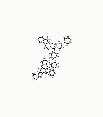 CC1(C)c2ccccc2-c2ccc(N(c3ccc(-c4ccccc4)cc3)c3ccc(-c4cccc5c4-c4ccccc4C54c5ccccc5-c5c4ccc4c5oc5ccccc54)cc3)cc21